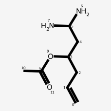 C=CCC(CC(N)N)OC(C)=O